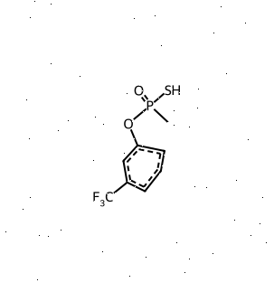 CP(=O)(S)Oc1cccc(C(F)(F)F)c1